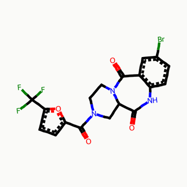 O=C1Nc2ccc(Br)cc2C(=O)N2CCN(C(=O)c3ccc(C(F)(F)F)o3)CC12